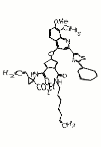 C=CCCCCCNC(=O)C1CC(Oc2cc(-c3csc(C4CCCCC4)n3)nc3c(C)c(OC)ccc23)CC1C(=O)NC1(C(=O)OCC)CC1C=C